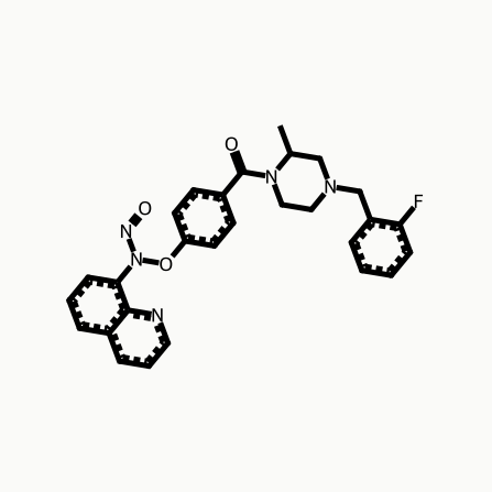 CC1CN(Cc2ccccc2F)CCN1C(=O)c1ccc(ON(N=O)c2cccc3cccnc23)cc1